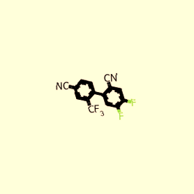 N#Cc1ccc(-c2cc(F)c(F)cc2C#N)c(C(F)(F)F)c1